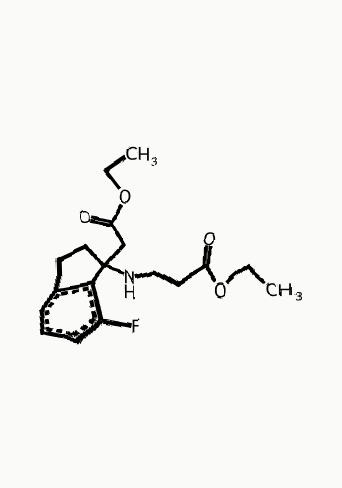 CCOC(=O)CCNC1(CC(=O)OCC)CCc2cccc(F)c21